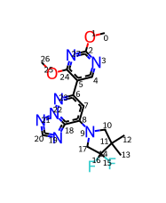 COc1ncc(-c2cc(N3CC(C)(C)C(F)(F)C3)c3ncnn3n2)c(OC)n1